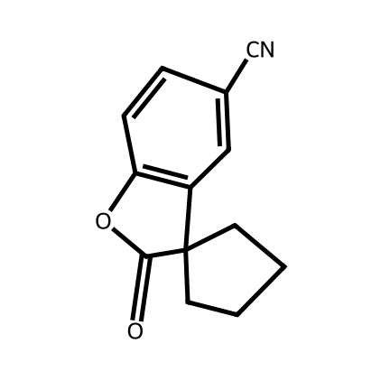 N#Cc1ccc2c(c1)C1(CCCC1)C(=O)O2